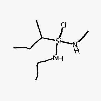 CCN[Si](Cl)(NC)C(C)CC